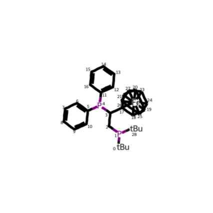 CC(C)(C)P(CC(P(c1ccccc1)c1ccccc1)[C]12[CH]3[CH]4[CH]5[CH]1[Fe]45321678[CH]2[CH]1[CH]6[CH]7[CH]28)C(C)(C)C